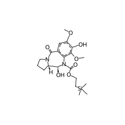 COc1cc2c(c(OC)c1O)N(C(=O)OCC[Si](C)(C)C)[C@@H](O)[C@@H]1CCCN1C2=O